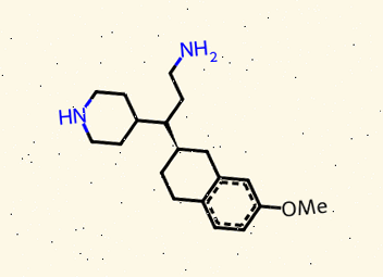 COc1ccc2c(c1)C[C@H](C(CCN)C1CCNCC1)CC2